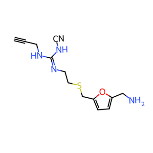 C#CCNC(=NCCSCc1ccc(CN)o1)NC#N